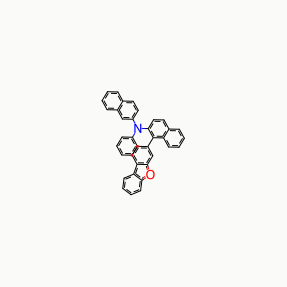 c1ccc(N(c2ccc3ccccc3c2)c2ccc3ccccc3c2-c2ccc3c(c2)oc2ccccc23)cc1